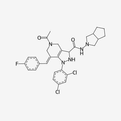 CC(=O)N1CC2=C(/C(=C/c3ccc(F)cc3)C1)N(c1ccc(Cl)cc1Cl)NC2C(=O)NN1CC2CCCC2C1